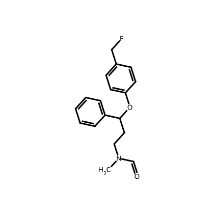 CN(C=O)CCC(Oc1ccc(CF)cc1)c1ccccc1